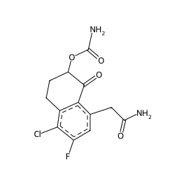 NC(=O)Cc1cc(F)c(Cl)c2c1C(=O)C(OC(N)=O)CC2